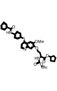 COc1cc2c(Sc3ccc(NC(=O)c4ccccc4)cc3)ccnc2cc1OCCC(NC(=O)OC(C)(C)C)C(=O)OC1CCCC1